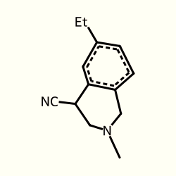 CCc1ccc2c(c1)C(C#N)CN(C)C2